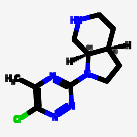 Cc1nc(N2CC[C@@H]3CCNC[C@@H]32)nnc1Cl